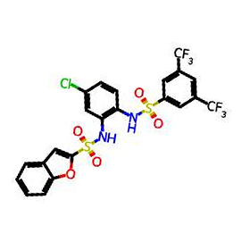 O=S(=O)(Nc1ccc(Cl)cc1NS(=O)(=O)c1cc2ccccc2o1)c1cc(C(F)(F)F)cc(C(F)(F)F)c1